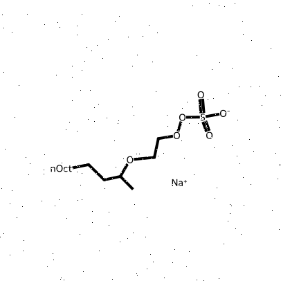 CCCCCCCCCCC(C)OCCOOS(=O)(=O)[O-].[Na+]